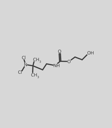 CC(C)(CCNC(=O)OCCO)N(Cl)Cl